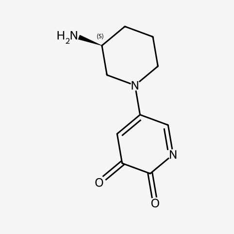 N[C@H]1CCCN(C2=CC(=O)C(=O)N=C2)C1